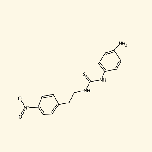 Nc1ccc(NC(=S)NCCc2ccc([N+](=O)[O-])cc2)cc1